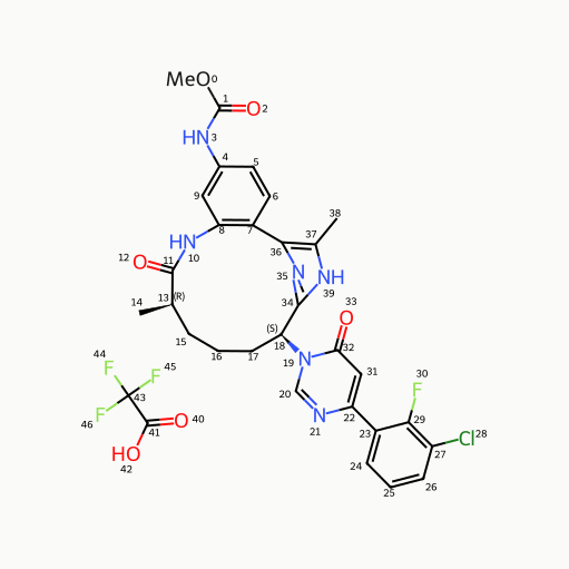 COC(=O)Nc1ccc2c(c1)NC(=O)[C@H](C)CCC[C@H](n1cnc(-c3cccc(Cl)c3F)cc1=O)c1nc-2c(C)[nH]1.O=C(O)C(F)(F)F